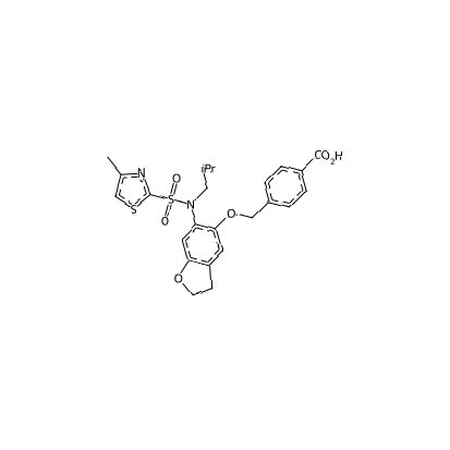 Cc1csc(S(=O)(=O)N(CC(C)C)c2cc3c(cc2OCc2ccc(C(=O)O)cc2)CCO3)n1